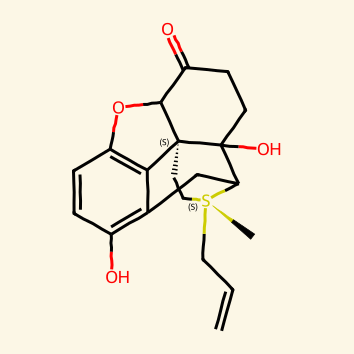 C=CC[S@]1(C)CC[C@@]23c4c5ccc(O)c4CC1C2(O)CCC(=O)C3O5